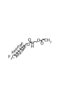 C=CC(=O)OCCNC(=O)OCC(F)(F)C(F)(F)C(F)(F)C(F)(F)C(F)(F)C(F)(F)C(F)(F)F